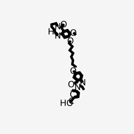 COc1cc2c(cc1OCCCCCCCCOc1ccc3nc(C)n(-c4ccc(CO)cc4)c(=O)c3c1)N=C[C@@H]1CCCN1C2=O